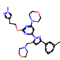 Cc1cccc(-c2cc(CN3CCOCC3)n(-c3cc(N4CCOCC4)nc(OCCc4cnn(C)c4)n3)n2)c1